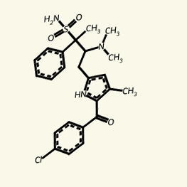 Cc1cc(CC(N(C)C)C(C)(c2ccccc2)S(N)(=O)=O)[nH]c1C(=O)c1ccc(Cl)cc1